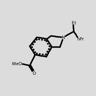 CCCC(CC)N1Cc2ccc(C(=O)OC)cc2C1